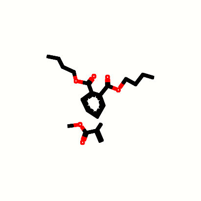 C=C(C)C(=O)OC.CCCCOC(=O)c1ccccc1C(=O)OCCCC